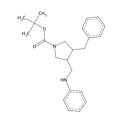 CC(C)(C)OC(=O)N1CC(CNc2ccccc2)C(Cc2ccccc2)C1